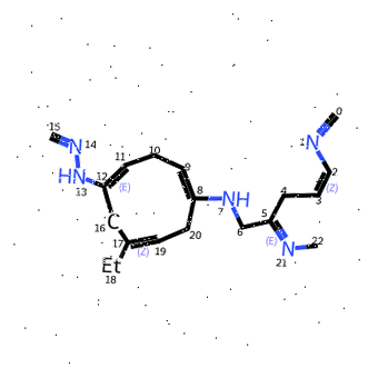 C=N/C=C\C/C(CNC1=CC/C=C(/NN=C)C/C(CC)=C\C1)=N\C